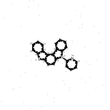 c1ccc(-n2c3ccccc3c3c4c(ccc32)sc2ccccc24)nc1